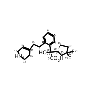 O=C(O)[C@](O)(c1ccccc1CCC1=CCNCC1)[C@@H]1CCC(F)(F)C1